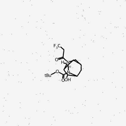 CC(C)(C)OC(=O)N1C2CC3C[C@H]1C(C2O)N(C(=O)CC(F)(F)F)C3